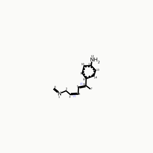 C=NC/C=C\C=C(/C)c1ccc(N)cc1